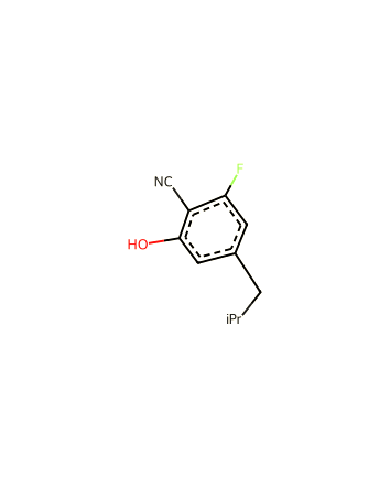 CC(C)Cc1cc(O)c(C#N)c(F)c1